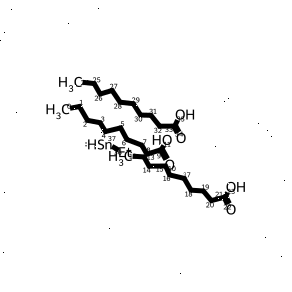 CCCCCCCCCC(=O)O.CCCCCCCCCC(=O)O.CCCCCCCCCC(=O)O.C[CH2][SnH]